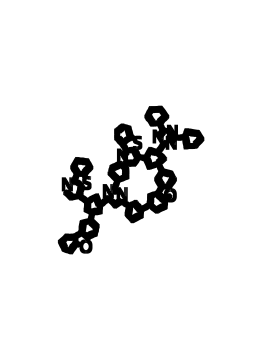 c1ccc(-c2nc(-c3cccc(-c4ccc5oc6ccc(-c7cc(-c8nc(-c9ccccc9)nc(-c9ccccc9)n8)cc(-c8ccnc9c8sc8ccccc89)c7)cc6c5c4)c3)cc(-c3cc(-c4ccc5oc6ccccc6c5c4)cc(-c4ccnc5c4sc4ccccc45)c3)n2)cc1